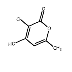 Cc1cc(O)c(Cl)c(=O)o1